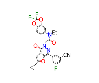 CCN(C(=O)Cn1nc(-c2cc(F)cc(C#N)c2)c2oc(C3CC3)cc2c1=O)c1ccc2c(c1)OC(F)(F)O2